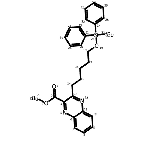 CC(C)(C)OC(=O)c1nc2ccccc2nc1CCCCCO[Si](c1ccccc1)(c1ccccc1)C(C)(C)C